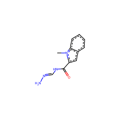 Cn1c(C(=O)NC=NN)cc2ccccc21